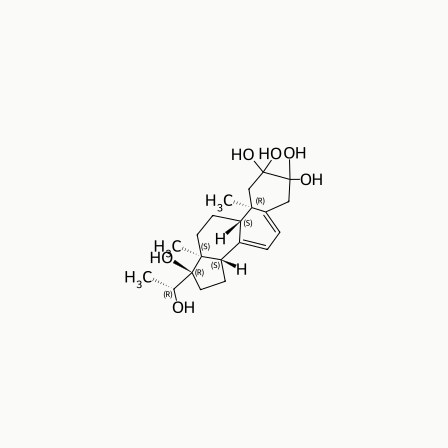 C[C@@H](O)[C@@]1(O)CC[C@H]2C3=CC=C4CC(O)(O)C(O)(O)C[C@]4(C)[C@H]3CC[C@@]21C